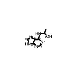 CC(O)Nc1ncnc2[nH]cnc12